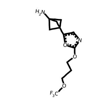 NC12CC(c3cnc(OCCCOC(F)(F)F)o3)(C1)C2